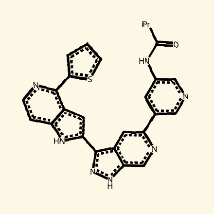 CC(C)C(=O)Nc1cncc(-c2cc3c(-c4cc5c(-c6cccs6)nccc5[nH]4)n[nH]c3cn2)c1